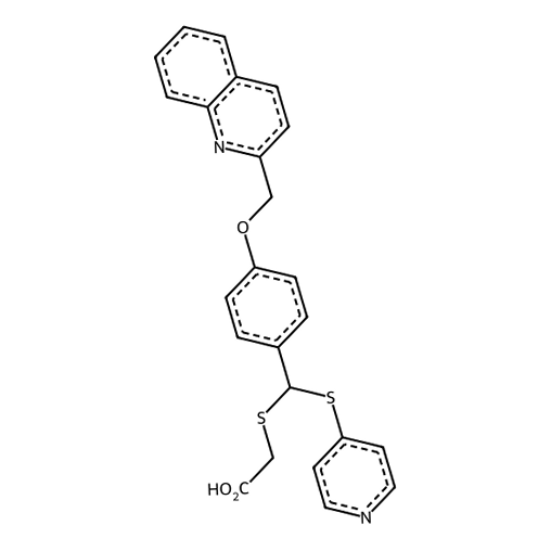 O=C(O)CSC(Sc1ccncc1)c1ccc(OCc2ccc3ccccc3n2)cc1